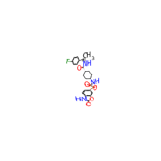 C[C@@H](NC(=O)[C@H]1CC[C@H](NS(=O)(=O)c2ccc3[nH]c(=O)oc3c2)CC1)c1ccc(F)cc1